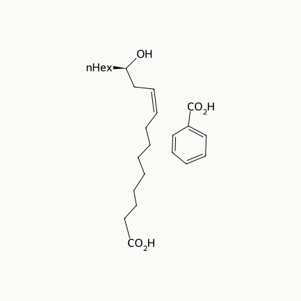 CCCCCC[C@@H](O)C/C=C\CCCCCCCC(=O)O.O=C(O)c1ccccc1